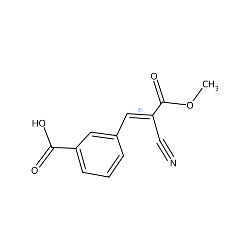 COC(=O)/C(C#N)=C/c1cccc(C(=O)O)c1